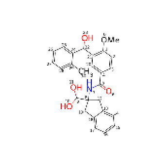 COc1ccc(C(=O)NC2(C(O)O)Cc3ccccc3C2)cc1C(O)c1ccccc1C